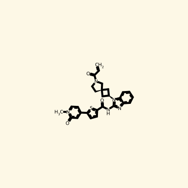 C=CC(=O)N1CC[C@]2(C1)C[C@H](n1c(NC(=O)c3ccc(-c4ccn(C)c(=O)c4)s3)nc3ccccc31)C2